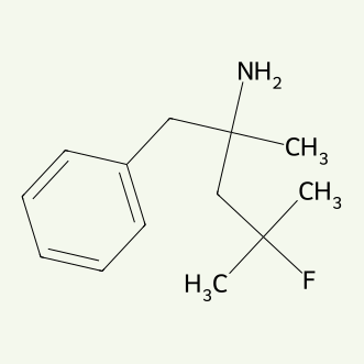 CC(C)(F)CC(C)(N)Cc1ccccc1